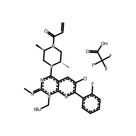 C=CC(=O)N1C[C@H](C)N(c2n/c(=N\C)n(CC(C)(C)C)c3nc(-c4ccccc4F)c(Cl)cc23)C[C@H]1C.O=C(O)C(F)(F)F